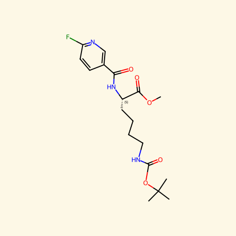 COC(=O)[C@H](CCCCNC(=O)OC(C)(C)C)NC(=O)c1ccc(F)nc1